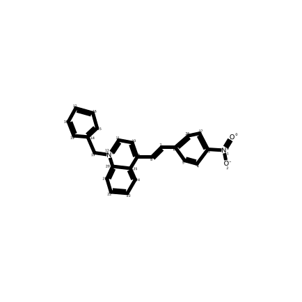 O=[N+]([O-])c1ccc(C=Cc2cc[n+](Cc3ccccc3)c3ccccc23)cc1